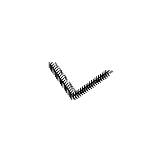 [K+].[K+].[K+].[K+].[K+].[K+].[K+].[K+].[K+].[K+].[K+].[K+].[K+].[K+].[K+].[K+].[K+].[K+].[K+].[K+].[K+].[K+].[K+].[K+].[K+].[K+].[K+].[K+].[K+].[K+].[K+].[K+].[K+].[K+].[K+].[K+].[K+].[K+]